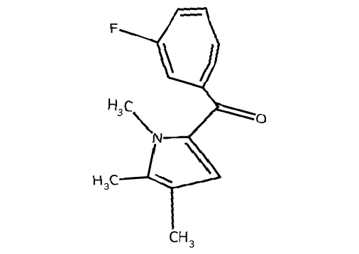 Cc1cc(C(=O)c2cccc(F)c2)n(C)c1C